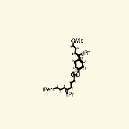 CCCC(C)CCCC(CCC)CCCC(=O)Oc1ccc(C(CCC)CCCOC)cc1